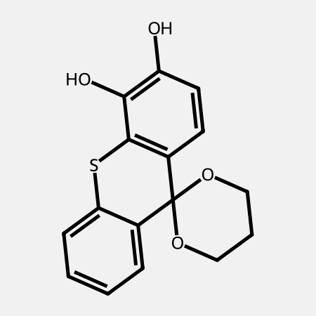 Oc1ccc2c(c1O)Sc1ccccc1C21OCCCO1